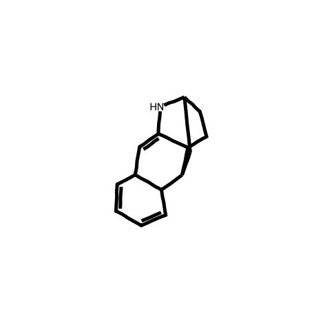 C1=CC2C=C3NC4CCC3C(C4)C2C=C1